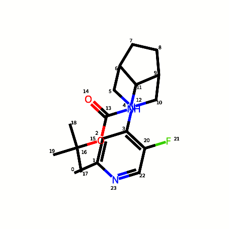 Cc1cc(N2CC3CCC(C2)C3NC(=O)OC(C)(C)C)c(F)cn1